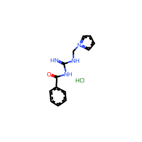 Cl.N=C(NCn1cccc1)NC(=O)c1ccccc1